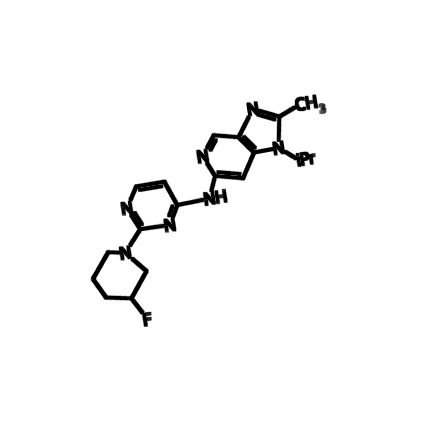 Cc1nc2cnc(Nc3ccnc(N4CCCC(F)C4)n3)cc2n1C(C)C